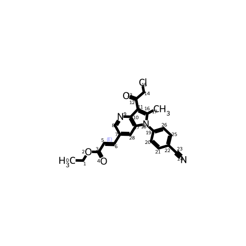 CCOC(=O)/C=C/c1cnc2c(C(=O)CCl)c(C)n(-c3ccc(C#N)cc3)c2c1